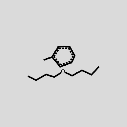 CCCCOCCCC.Ic1ccccc1